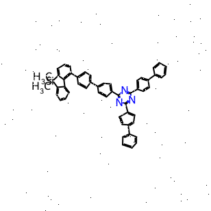 C[Si]1(C)c2ccccc2-c2c(-c3ccc(-c4ccc(-c5nc(-c6ccc(-c7ccccc7)cc6)nc(-c6ccc(-c7ccccc7)cc6)n5)cc4)cc3)cccc21